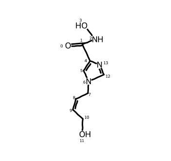 O=C(NO)c1cn(C/C=C\CO)cn1